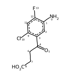 Nc1cc(C(=O)CCC(=O)O)c(Cl)cc1F